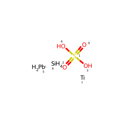 O=S(=O)(O)O.[PbH2].[SiH4].[Ti]